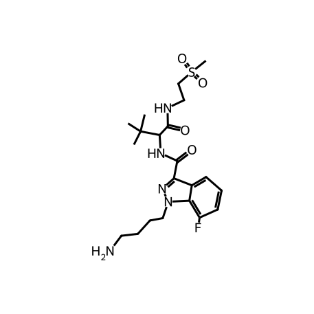 CC(C)(C)C(NC(=O)c1nn(CCCCN)c2c(F)cccc12)C(=O)NCCS(C)(=O)=O